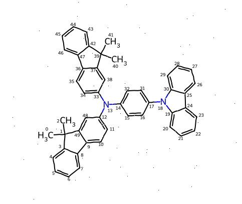 CC1(C)c2ccccc2-c2ccc(N(c3ccc(-n4c5ccccc5c5ccccc54)cc3)c3ccc4c(c3)C(C)(C)c3ccccc3-4)cc21